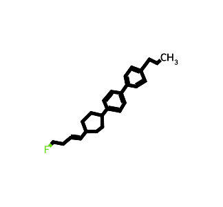 CCCc1ccc(-c2ccc(C3CCC(C=CCCF)CC3)cc2)cc1